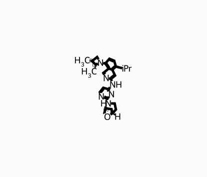 CC(C)c1ccc(N2C[C@@H](C)[C@@H]2C)c2cnc(Nc3ccnc(N4CC[C@H]5C[C@@H]4CO5)n3)cc12